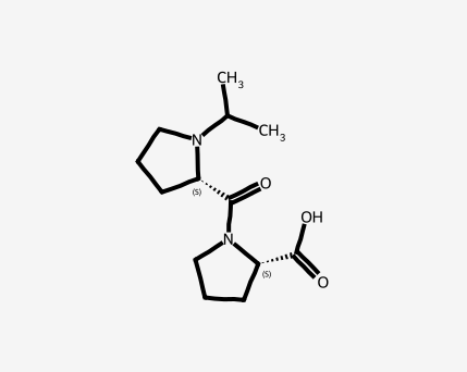 CC(C)N1CCC[C@H]1C(=O)N1CCC[C@H]1C(=O)O